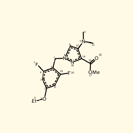 CCOc1cc(F)c(Cn2cc(N(C)C)c(C(=O)OC)n2)c(F)c1